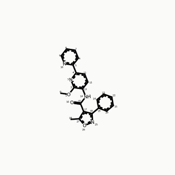 COc1nc(-c2ccccn2)ccc1NC(=O)c1c(-c2ccccc2)noc1C